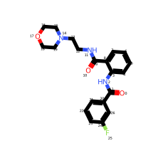 O=C(Nc1ccccc1C(=O)NCCN1CCOCC1)c1cccc(F)c1